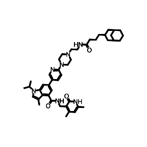 Cc1cc(C)c(CNC(=O)c2cc(-c3ccc(N4CCN(CCNC(=O)CCCC5CC6CCCC(C5)C6)CC4)nc3)cc3c2c(C)cn3C(C)C)c(=O)[nH]1